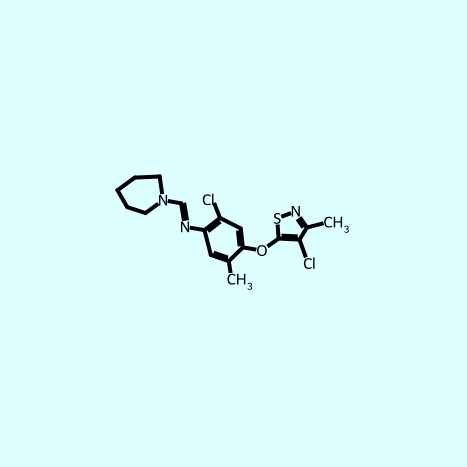 Cc1cc(N=CN2CCCCC2)c(Cl)cc1Oc1snc(C)c1Cl